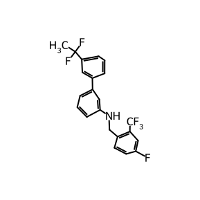 CC(F)(F)c1cccc(-c2cccc(NCc3ccc(F)cc3C(F)(F)F)c2)c1